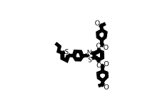 CCCc1ccc(-c2ccc(-c3nc4c(OC(=O)C5CCC(C(C)=O)CC5)ccc(OC(=O)C5CCC(C(C)=O)CC5)c4s3)cc2)s1